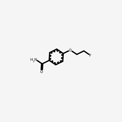 NC(=O)c1ccc(OCCF)cc1